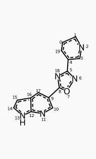 c1cncc(-c2noc(-c3cnc4[nH]ccc4c3)n2)c1